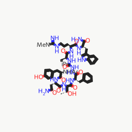 CNC(=N)NCCC[C@H](NC(=O)[C@H](CC(C)C)NC(=O)NNC(=O)[C@H](Cc1ccccc1)NC(=O)C(NC(=O)[C@H](CC(N)=O)NC(=O)[C@@H](Cc1ccc(O)cc1)NC(C)=O)[C@@H](C)O)C(=O)N[C@@H](Cc1c[nH]c2ccccc12)C(N)=O